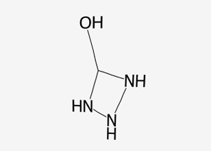 OC1NNN1